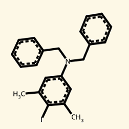 Cc1cc(N(Cc2ccccc2)Cc2ccccc2)cc(C)c1I